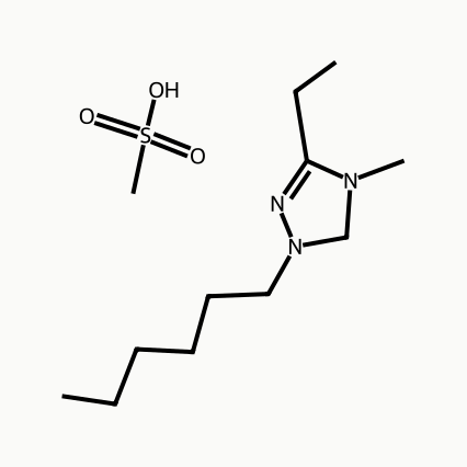 CCCCCCN1CN(C)C(CC)=N1.CS(=O)(=O)O